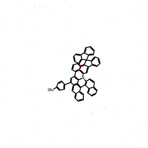 CC(C)(C)c1ccc(-c2ccc(N(c3ccc4c(c3)-c3ccccc3C43c4ccccc4-c4ccccc43)c3ccc4ccccc4c3-c3cccc4ccccc34)c(-c3ccccc3)c2)cc1